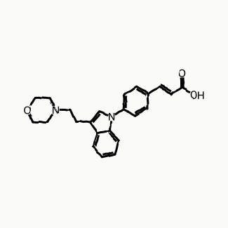 O=C(O)C=Cc1ccc(-n2cc(CCN3CCOCC3)c3ccccc32)cc1